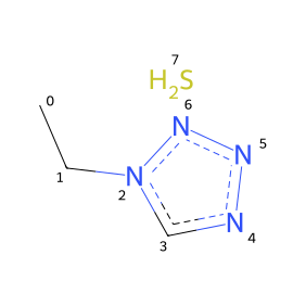 CCn1cnnn1.S